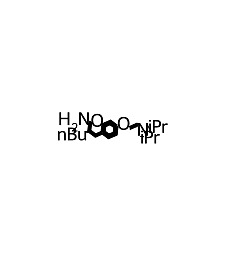 CCCC[C@H](Cc1ccc(OCCN(C(C)C)C(C)C)cc1)C(N)=O